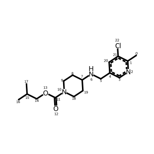 Cc1ncc(CNC2CCN(C(=O)OCC(C)C)CC2)cc1Cl